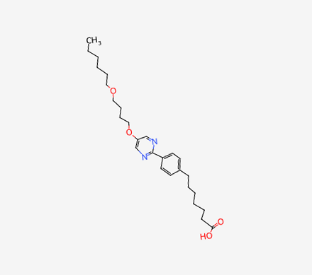 CCCCCCOCCCCOc1cnc(-c2ccc(CCCCCCC(=O)O)cc2)nc1